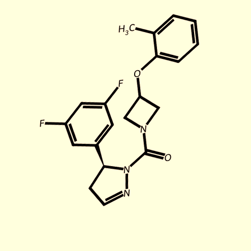 Cc1ccccc1OC1CN(C(=O)N2N=CC[C@H]2c2cc(F)cc(F)c2)C1